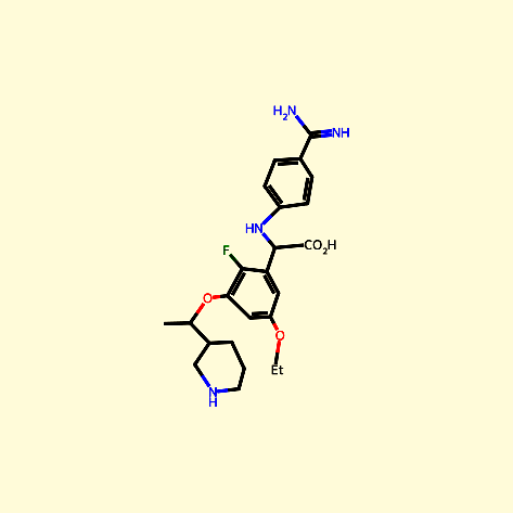 CCOc1cc(OC(C)C2CCCNC2)c(F)c(C(Nc2ccc(C(=N)N)cc2)C(=O)O)c1